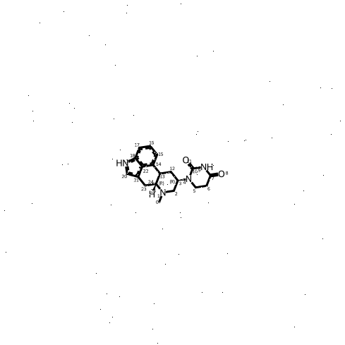 CN1C[C@H](N2CCC(=O)NC2=O)CC2c3cccc4[nH]cc(c34)C[C@H]21